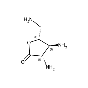 NC[C@H]1OC(=O)[C@@H](N)[C@@H]1N